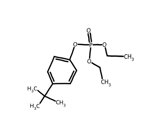 CCOP(=O)(OCC)Oc1ccc(C(C)(C)C)cc1